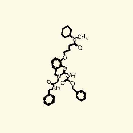 CN(C(=O)CCCOc1cccc2c1N=C(NC(=O)OCc1ccccc1)N(CC(=O)NCc1ccccc1)C2)C1CCCCC1